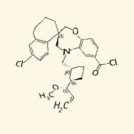 C=C[C@H](OC)[C@@H]1CC[C@H]1CN1C[C@@]2(CCCc3cc(Cl)ccc32)COc2ccc(C(=O)Cl)cc21